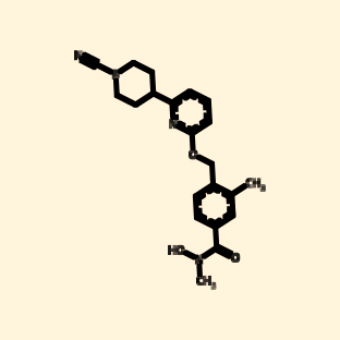 Cc1cc(C(=O)N(C)O)ccc1COc1cccc(C2CCB(C#N)CC2)n1